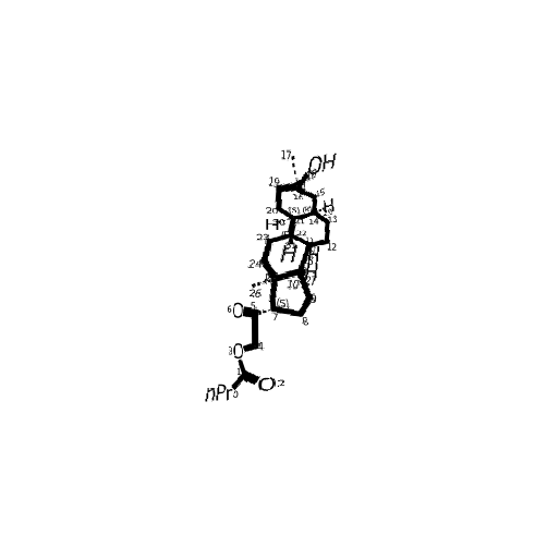 CCCC(=O)OCC(=O)[C@H]1CC[C@H]2[C@@H]3CC[C@@H]4C[C@](C)(O)CC[C@@H]4[C@H]3CC[C@]12C